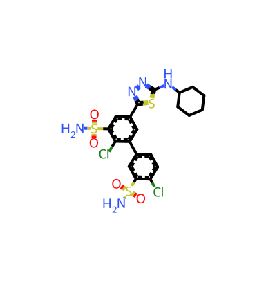 NS(=O)(=O)c1cc(-c2cc(-c3nnc(NC4CCCCC4)s3)cc(S(N)(=O)=O)c2Cl)ccc1Cl